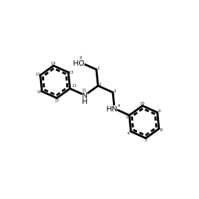 OCC(CNc1ccccc1)Nc1ccccc1